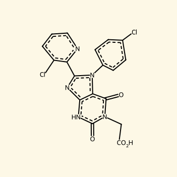 O=C(O)Cn1c(=O)[nH]c2nc(-c3ncccc3Cl)n(-c3ccc(Cl)cc3)c2c1=O